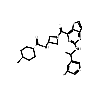 CC(Nc1nc(C(=O)N2CC(NC(=O)[C@H]3CC[C@H](C)CC3)C2)c2sccc2n1)c1cncc(F)c1